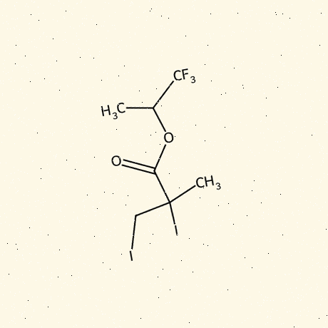 CC(OC(=O)C(C)(I)CI)C(F)(F)F